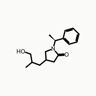 CC(CO)CC1CC(=O)N([C@@H](C)c2ccccc2)C1